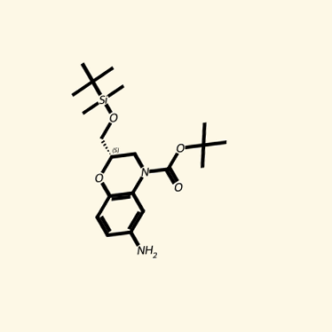 CC(C)(C)OC(=O)N1C[C@@H](CO[Si](C)(C)C(C)(C)C)Oc2ccc(N)cc21